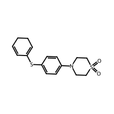 O=S1(=O)CCN(c2ccc(SC3=CCCC=C3)cc2)CC1